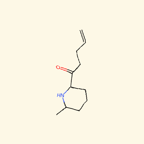 C=CCCC(=O)C1CCCC(C)N1